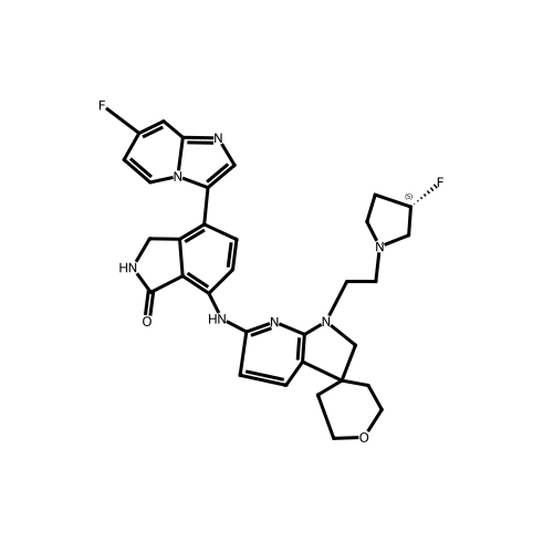 O=C1NCc2c(-c3cnc4cc(F)ccn34)ccc(Nc3ccc4c(n3)N(CCN3CC[C@H](F)C3)CC43CCOCC3)c21